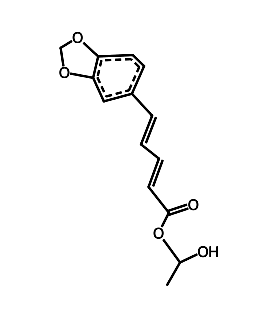 CC(O)OC(=O)C=CC=Cc1ccc2c(c1)OCO2